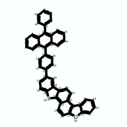 c1ccc(-c2c3ccccc3c(-c3ccc(-c4ccc5sc6c(ccc7c6ccc6oc8ccccc8c67)c5c4)cc3)c3ccccc23)cc1